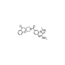 Cc1ncc2c(N)nc3ccc(C(=O)N4CCC5(CC4)CC(=O)c4ccccc4O5)cc3n12